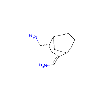 NC=C1C(=CN)C2CCC1C2